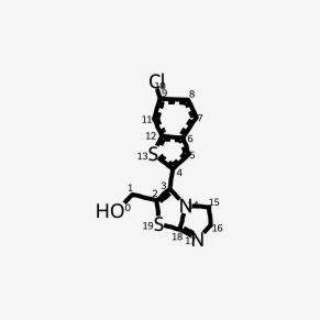 OCC1=C(c2cc3ccc(Cl)cc3s2)N2CCN=C2S1